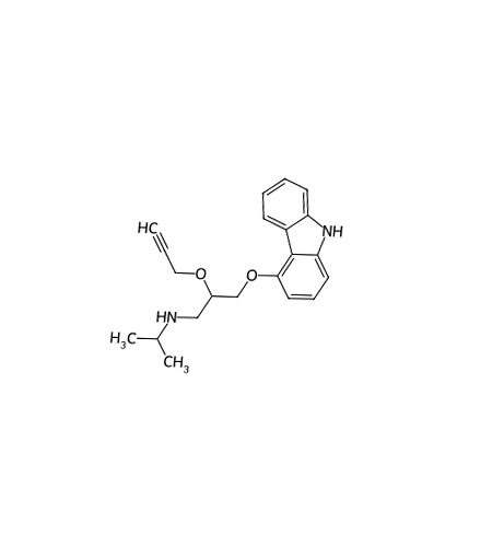 C#CCOC(CNC(C)C)COc1cccc2[nH]c3ccccc3c12